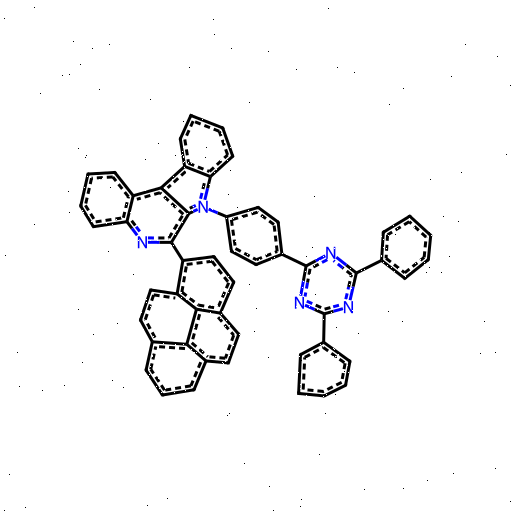 c1ccc(-c2nc(-c3ccccc3)nc(-c3ccc(-n4c5ccccc5c5c6ccccc6nc(-c6ccc7ccc8cccc9ccc6c7c89)c54)cc3)n2)cc1